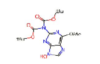 COc1nc(N(C(=O)OC(C)(C)C)C(=O)OC(C)(C)C)nc2c1ncn2O